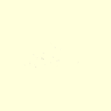 CCOC(=O)CC1(C(=O)OCc2ccccc2)CCN(C(=O)OC(C)(C)C)CC1=O